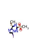 CSc1nc(S(C)(=O)=O)nn2c(I)cnc12